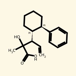 C=CC([C@@H]1CCCC[C@H]1c1ccccc1)C(C)(O)C(=O)O